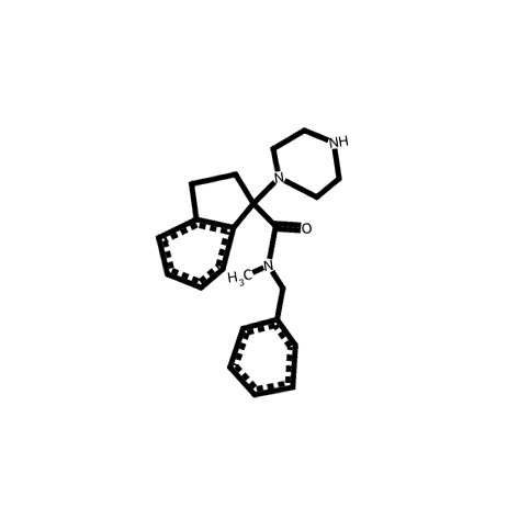 CN(Cc1ccccc1)C(=O)C1(N2CCNCC2)CCc2ccccc21